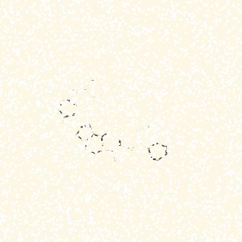 C[C@H](C(=O)N[C@H](CO)c1cccc(C(F)(F)F)c1)n1cnn2cc(-c3nc(NC4CCOCC4)ncc3Cl)cc2c1=O